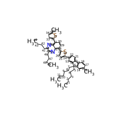 CCCCCCC1(CCCCCC)c2cc(C)ccc2-c2ccc(-c3ccc(-c4ccc(-c5ccc(C)s5)c5nc(CCCC)c(CCCC)nc45)s3)cc21